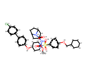 CC(C)(C)OC(=O)NC1CC2CCC(C1)N2C(=O)[C@H]1C[C@H](Oc2ccc(-c3ccc(Cl)cc3)cc2)CCN1S(=O)(=O)c1ccc(OCC2CCCCC2)cc1